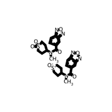 CN(C(=O)c1ccc2nonc2c1)C1CCS(=O)(=O)CC1.CN(C(=O)c1ccc2nonc2c1)C1CC[S+]([O-])CC1